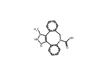 CCCC(=O)N1Cc2ccccc2C2=C(NNN2C)c2ccccc21